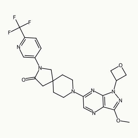 COc1nn(C2COC2)c2nc(N3CCC4(CC3)CC(=O)N(c3ccc(C(F)(F)F)nc3)C4)cnc12